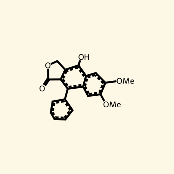 COc1cc2c(O)c3c(c(-c4ccccc4)c2cc1OC)C(=O)OC3